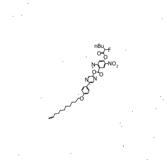 C=CCCCCCCCCCOc1ccc(-c2cnc(OC(=O)c3cc([N+](=O)[O-])c(OC(=O)[C@H](F)CCCC)cc3N(C)C)cn2)cc1